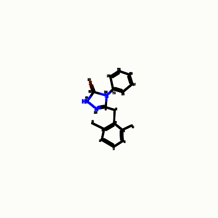 Cc1cccc(C)c1Cc1n[nH]c(=S)n1-c1ccccc1